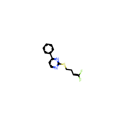 FC(F)=CCCSc1nccc(-c2ccccc2)n1